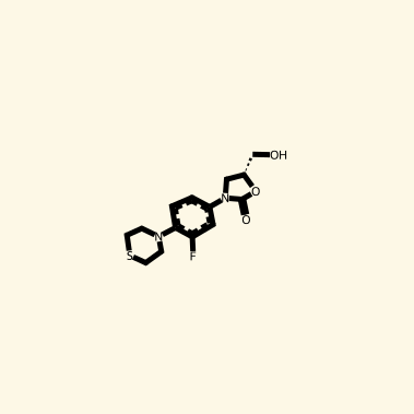 O=C1O[C@@H](CO)CN1c1ccc(N2CCSCC2)c(F)c1